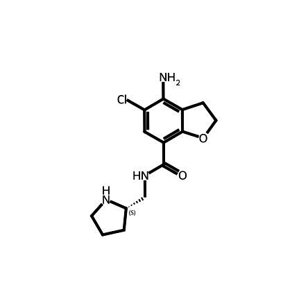 Nc1c(Cl)cc(C(=O)NC[C@@H]2CCCN2)c2c1CCO2